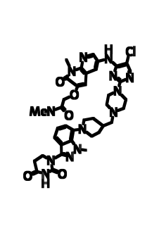 CNC(=O)COc1cc2cc(Nc3nc(N4CCN(CC5CCN(c6cccc7c(N8CCC(=O)NC8=O)nn(C)c67)CC5)CC4)ncc3Cl)cnc2n(C)c1=O